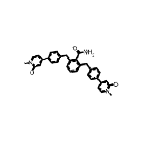 Cn1ccc(-c2ccc(Cc3cccc(Cc4ccc(-c5ccn(C)c(=O)c5)cc4)c3C(N)=O)cc2)cc1=O